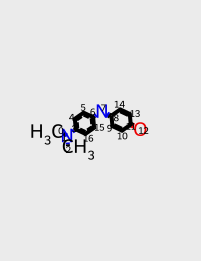 CN(C)c1ccc(N=C2C=CC(=O)C=C2)cc1